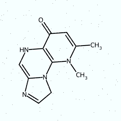 Cc1cc(=O)c2c(n1C)N1CC=NC1=CN2